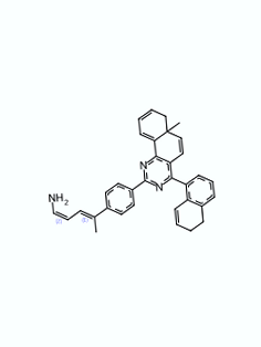 C/C(=C\C=C/N)c1ccc(-c2nc3c(c(-c4cccc5c4C=CCC5)n2)C=CC2(C)CC=CC=C32)cc1